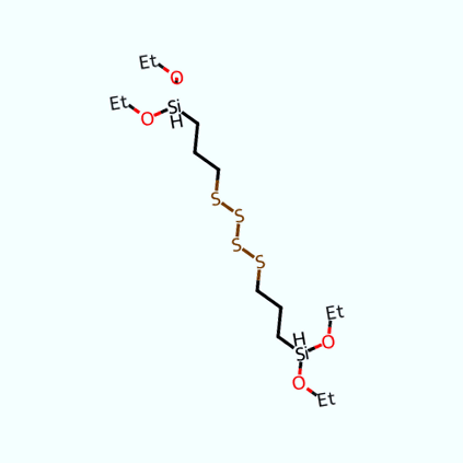 CCO[SiH](CCCSSSSCCC[SiH](OCC)OCC)OCC